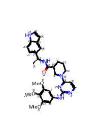 COc1cc(Nc2nccc(N3CCCC(C(=O)N[C@@H](C)c4ccc5[nH]ccc5c4)C3)n2)cc(OC)c1OC